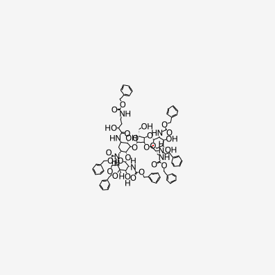 O=C(NCC[C@H](O)C(=O)N[C@@H]1C[C@H](NC(=O)OCc2ccccc2)[C@@H](O[C@H]2O[C@@H]3COC(c4ccccc4)O[C@H]3[C@H](O)[C@H]2NC(=O)OCc2ccccc2)[C@H](O[C@@H]2O[C@H](CO)[C@@H](O[C@H]3O[C@@H](CNC(=O)OCc4ccccc4)[C@@H](O)[C@H](O)[C@H]3NC(=O)OCc3ccccc3)[C@H]2OCCNCCc2ccccc2)[C@H]1O)OCc1ccccc1